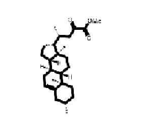 COC(=O)C(=O)C[C@@H](C)[C@H]1CC[C@H]2[C@@H]3CC=C4C[C@@H](C)CC[C@]4(C)[C@H]3CC[C@]12C